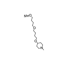 COCCCCOCCCCOC1CCN(C)CC1